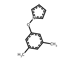 Cc1cc(C)cc(On2c[c]cc2)c1